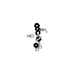 Cl.NC1c2ccccc2CC12CCN(c1cnc(Sc3cccc(Cl)c3Cl)cn1)CC2